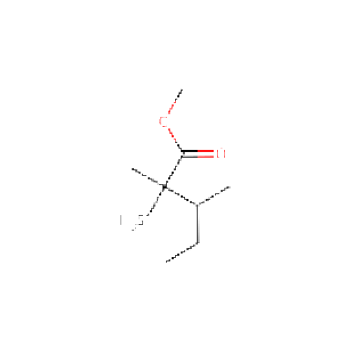 CCC(C)C(C)([SiH3])C(=O)OC